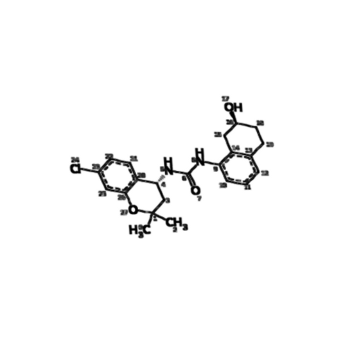 CC1(C)C[C@@H](NC(=O)Nc2cccc3c2C[C@@H](O)CC3)c2ccc(Cl)cc2O1